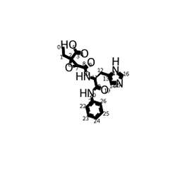 CCC1(C(=O)O)OC1C(=O)N[C@@H](Cc1cnc[nH]1)C(=O)Nc1ccccc1